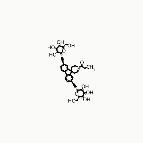 CCC(=O)N1CCC2(CC1)c1cc(C#C[C@H]3O[C@H](CO)[C@@H](O)[C@H](O)[C@@H]3O)ccc1-c1ccc(C#C[C@H]3O[C@H](CO)[C@@H](O)[C@H](O)[C@@H]3O)cc12